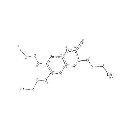 CCCOc1cc2cc(OCCI)c(OCCI)cc2oc1=O